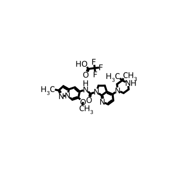 COc1cn2nc(C)cc2cc1NC(=O)N1CCc2c(N3CCNC(C)(C)C3)ccnc21.O=C(O)C(F)(F)F